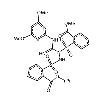 CCCOC(=O)c1ccccc1S(=O)(=O)NN(C(=N)Nc1nc(OC)cc(OC)n1)S(=O)(=O)c1ccccc1C(=O)OC